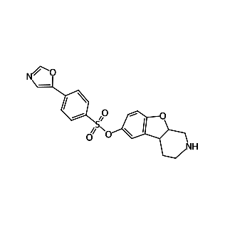 O=S(=O)(Oc1ccc2c(c1)C1CCNCC1O2)c1ccc(-c2cnco2)cc1